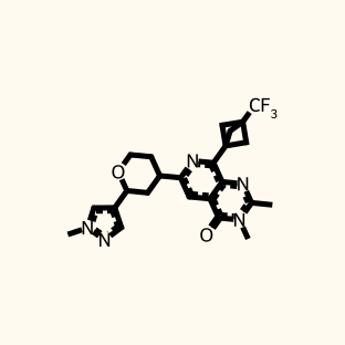 Cc1nc2c(C34CC(C(F)(F)F)(C3)C4)nc(C3CCOC(c4cnn(C)c4)C3)cc2c(=O)n1C